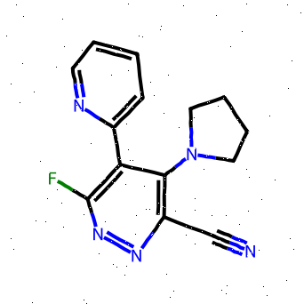 N#Cc1nnc(F)c(-c2ccccn2)c1N1CCCC1